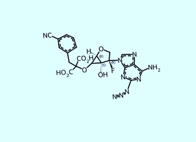 N#Cc1cccc(CC(OC2[C@H]3OC[C@](F)(n4cnc5c(N)nc(N=[N+]=[N-])nc54)[C@@]23O)(C(=O)O)C(=O)O)c1